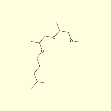 COCC(C)OCC(C)OCCCC(C)C